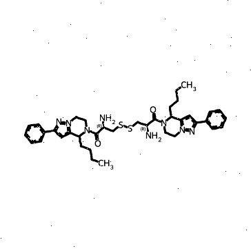 CCCCC1c2cc(-c3ccccc3)nn2CCN1C(=O)[C@@H](N)CSSC[C@H](N)C(=O)N1CCn2nc(-c3ccccc3)cc2C1CCCC